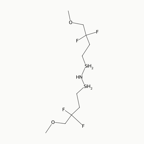 COCC(F)(F)CC[SiH2]N[SiH2]CCC(F)(F)COC